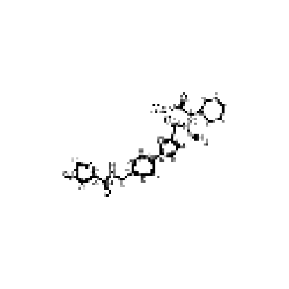 CNC(=O)[C@H](C1CCCCC1)N(N)C(=O)c1ccc(-c2ccc(CNC(=O)c3cn(C)cn3)cc2)o1